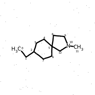 CCC1CCC2(CC1)CCN(C)C2